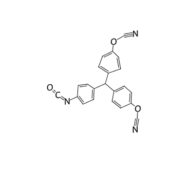 N#COc1ccc(C(c2ccc(N=C=O)cc2)c2ccc(OC#N)cc2)cc1